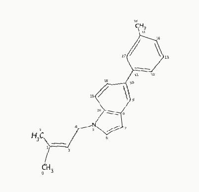 CC(C)=CCn1ccc2cc(-c3cccc(C)c3)ccc21